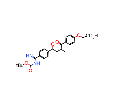 CC(CC(=O)c1ccc(C(=N)NC(=O)OC(C)(C)C)cc1)C(=O)c1ccc(OCC(=O)O)cc1